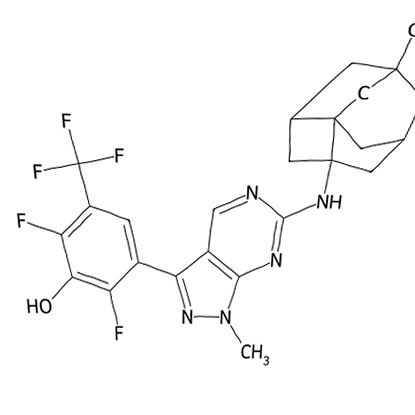 Cn1nc(-c2cc(C(F)(F)F)c(F)c(O)c2F)c2cnc(NC34CC5CC6(O)CC(C3)C4(C5)C6)nc21